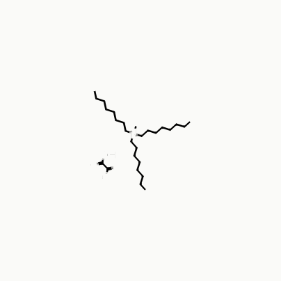 CCCCCCCC[N+](C)(CCCCCCCC)CCCCCCCC.O=C([O-])C(=O)O